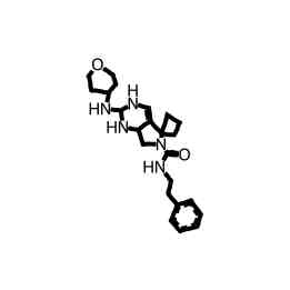 O=C(NCCc1ccccc1)N1CC2NC(NC3CCOCC3)NC=C2C12CCC2